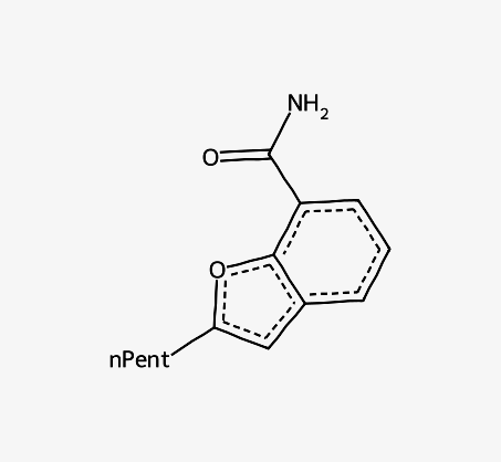 CCCCCc1cc2cccc(C(N)=O)c2o1